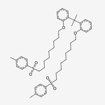 Cc1ccc(S(=O)(=O)CCCCCCCCCOc2ccccc2C(C)(C)c2ccccc2OCCCCCCCCCS(=O)(=O)c2ccc(C)cc2)cc1